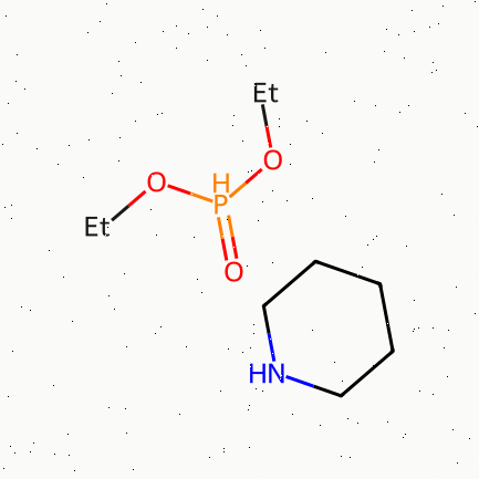 C1CCNCC1.CCO[PH](=O)OCC